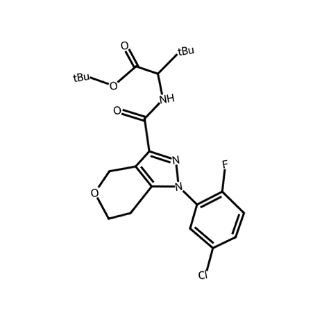 CC(C)(C)OC(=O)C(NC(=O)c1nn(-c2cc(Cl)ccc2F)c2c1COCC2)C(C)(C)C